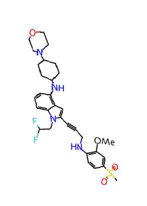 COc1cc(S(C)(=O)=O)ccc1NCC#Cc1cc2c(NC3CCC(N4CCOCC4)CC3)cccc2n1CC(F)F